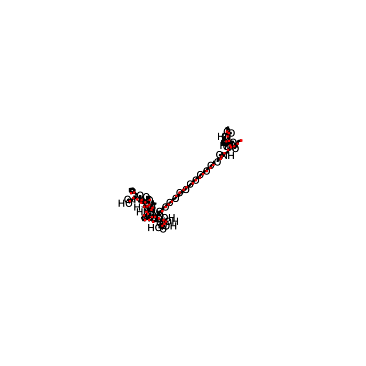 CCCNC(=O)[C@H](CCCCNC(=O)CCOCCOCCOCCOCCOCCOCCOCCOCCOCCOCCOCCOC(=O)Nc1cc(C[N+]2(C)CCCC[C@@H]2C(=O)N[C@H](C(=O)N(C)[C@H](C[C@@H](OC(C)=O)c2nc(C(=O)N[C@@H](Cc3ccccc3)C[C@H](C)C(=O)O)cs2)C(C)C)[C@@H](C)CC)ccc1O[C@@H]1O[C@H](C(=O)O)[C@@H](O)[C@H](O)[C@H]1O)NC(=O)[C@H](CNC(=O)OC(C)(C)C)N1C(=O)C=CC1=O